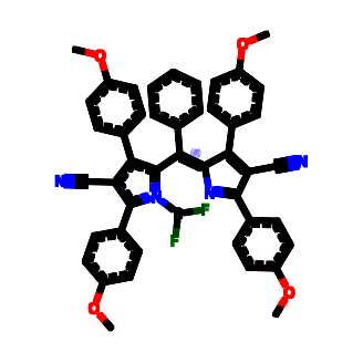 COc1ccc(C2=N/C(=C(/c3ccccc3)c3c(-c4ccc(OC)cc4)c(C#N)c(-c4ccc(OC)cc4)n3B(F)F)C(c3ccc(OC)cc3)=C2C#N)cc1